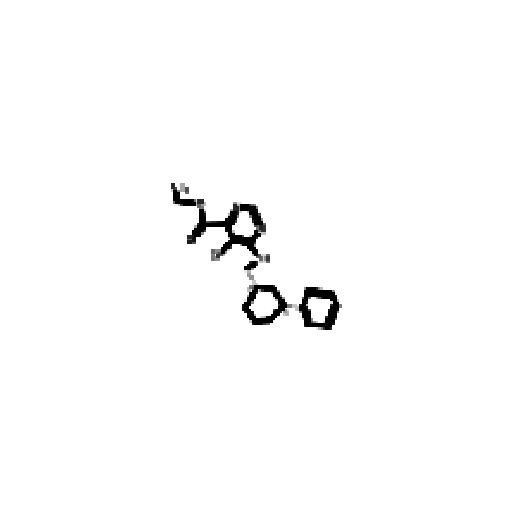 CCOC(=O)c1ncnc(NC[C@H]2CCC[C@@H](c3ccccc3)C2)c1Br